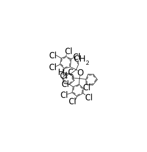 C=CC(OC(C=C)(c1ccccc1)c1c(Cl)c(Cl)c(Cl)c(Cl)c1Cl)(c1ccccc1)c1c(Cl)c(Cl)c(Cl)c(Cl)c1Cl